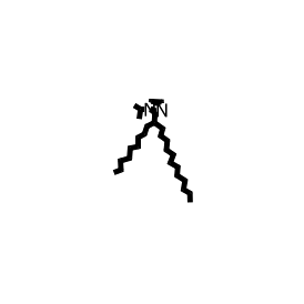 CCCCCCCCCCCCC(CCCCCCCCC)c1nccn1C(C)C